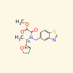 COC(=O)C(=O)N(Cc1ccc2scnc2c1)[C@@H](C)[C@H]1CCCO1